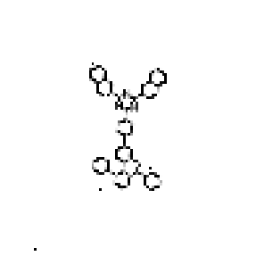 c1ccc(-c2nc3cc(-c4ccc(-c5nc(-c6ccc7ccccc7c6)nc(-c6ccc7ccccc7c6)n5)cc4)ccc3c3c(-c4ccccc4)cccc23)cc1